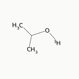 [3H]OC(C)C